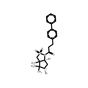 CC[C@H]1C[C@@H]2N(C(=O)CCc3ccc(-c4ccccc4)cc3)S(=O)(=O)CC2(C)C1(C)C